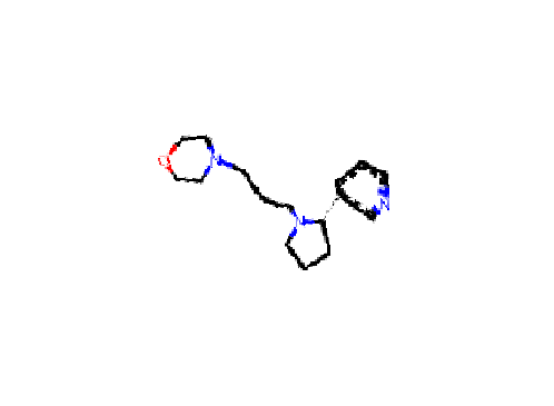 c1cncc([C@@H]2CCCN2CCCN2CCOCC2)c1